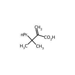 C=C(C(=O)O)C(C)(C)CCC